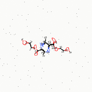 COCCOC(=O)c1nc(C)c(C(=O)OCCOC)nc1C